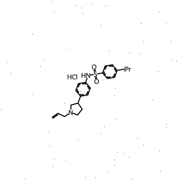 C=CCN1CCC(c2ccc(NS(=O)(=O)c3ccc(C(C)C)cc3)cc2)C1.Cl